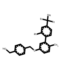 CCC(O)(CC)c1ccc(-c2cc(OCc3c[c]c(CO)cc3)ccc2C)c(C(C)C)c1